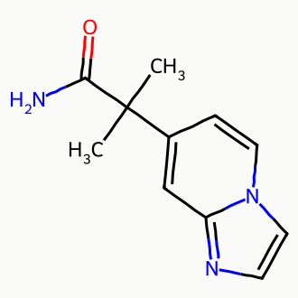 CC(C)(C(N)=O)c1ccn2ccnc2c1